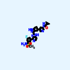 CS(=O)(=O)C(N)c1cc(F)cc(-c2nccc3[nH]c(-c4n[nH]c5ccc(-c6cncc(NC(=O)C7CC7)c6)cc45)nc23)c1